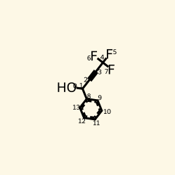 OC(C#CC(F)(F)F)c1ccccc1